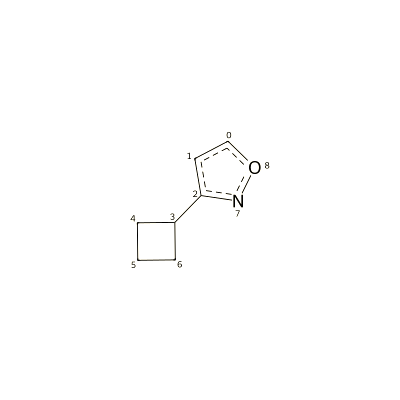 c1cc(C2CCC2)no1